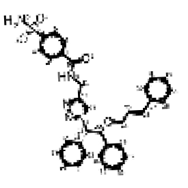 NS(=O)(=O)c1ccc(C(=O)NCc2cn([C@@H](c3ccccc3)[C@H](OC/C=C/c3ccccc3)c3ccccc3)nn2)cc1